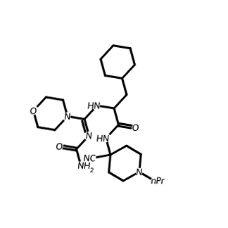 CCCN1CCC(C#N)(NC(=O)C(CC2CCCCC2)N/C(=N/C(N)=O)N2CCOCC2)CC1